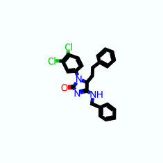 O=C1N=C(NCc2ccccc2)C(CCc2ccccc2)N1c1ccc(Cl)c(Cl)c1